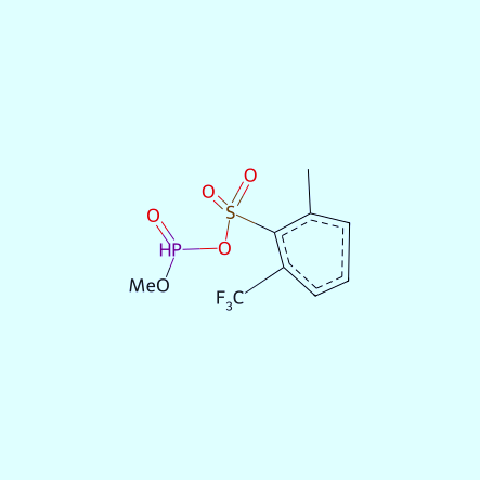 CO[PH](=O)OS(=O)(=O)c1c(C)cccc1C(F)(F)F